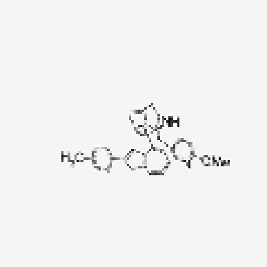 COc1ccc(CC(=N)C(=O)/C2=C\CCC(C3=CC=C=CC4=C3C=C(c3ccc(C)cc3)C4)CCC2)cn1